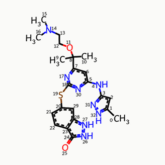 Cc1cc(Nc2cc(C(C)(C)OCCN(C)C)nc(Sc3ccc4c(=O)[nH][nH]c4c3)n2)n[nH]1